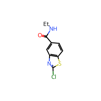 CCNC(=O)c1ccc2sc(Cl)nc2c1